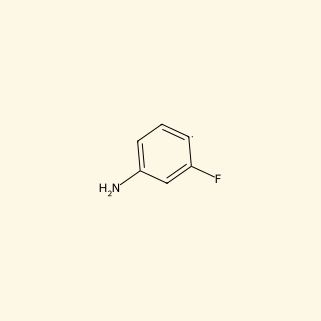 Nc1cc[c]c(F)c1